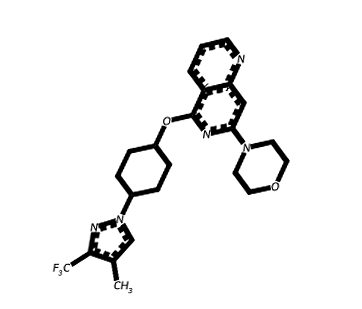 Cc1cn(C2CCC(Oc3nc(N4CCOCC4)cc4ncccc34)CC2)nc1C(F)(F)F